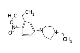 C=C(C)c1cc(N2CCN(CC)CC2)ccc1[N+](=O)[O-]